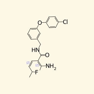 C/C(N)=C(\C=C/C(C)F)C(=O)NCc1cccc(Oc2ccc(Cl)cc2)c1